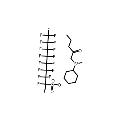 CCCC(=O)C[S+](C)C1CCCCC1.O=S(=O)([O-])C(F)(F)C(F)(F)C(F)(F)C(F)(F)C(F)(F)C(F)(F)C(F)(F)C(F)(F)F